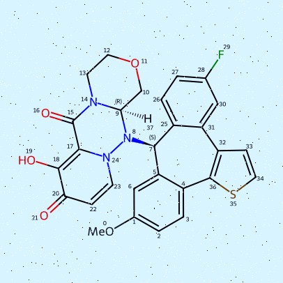 COc1ccc2c(c1)[C@@H](N1[C@@H]3COCCN3C(=O)c3c(O)c(=O)ccn31)c1ccc(F)cc1-c1ccsc1-2